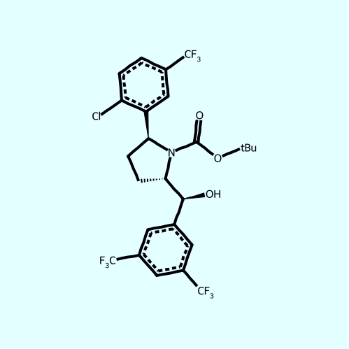 CC(C)(C)OC(=O)N1[C@H](c2cc(C(F)(F)F)ccc2Cl)CC[C@H]1[C@@H](O)c1cc(C(F)(F)F)cc(C(F)(F)F)c1